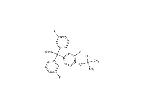 CCCCCC[B-](c1cccc(F)c1)(c1cccc(F)c1)c1cccc(F)c1.C[N+](C)(C)C